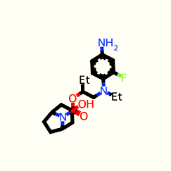 CCC(CN(CC)c1ccc(N)cc1F)OC(=O)N1C2CCC1CC(O)C2